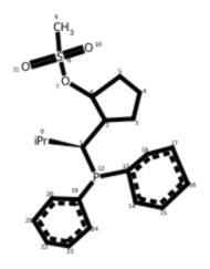 CC(C)[C@@H](C1CCCC1OS(C)(=O)=O)P(c1ccccc1)c1ccccc1